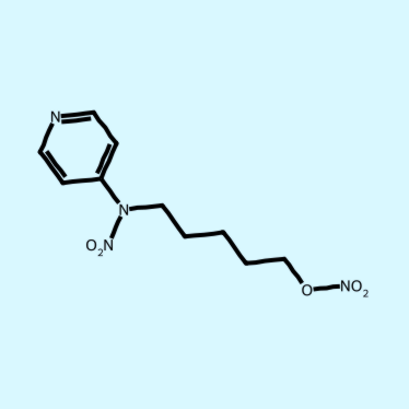 O=[N+]([O-])OCCCCCN(c1ccncc1)[N+](=O)[O-]